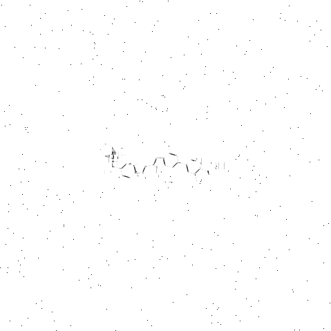 Cc1cc(-c2ccc3cc(-c4oc5cc(C(=O)N6CC7CCC6[C@@H]7N)ccc5c4C)n(CC4CC4)c3c2)cnc1C(N)=O